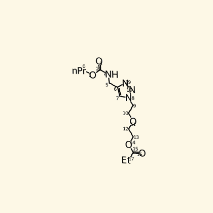 CCCOC(=O)NCc1cn(CCOCCOC(=O)CC)nn1